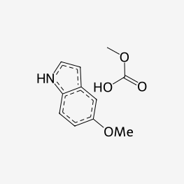 COC(=O)O.COc1ccc2[nH]ccc2c1